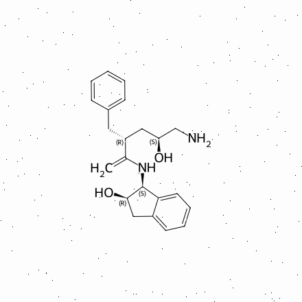 C=C(N[C@H]1c2ccccc2C[C@H]1O)[C@H](Cc1ccccc1)C[C@H](O)CN